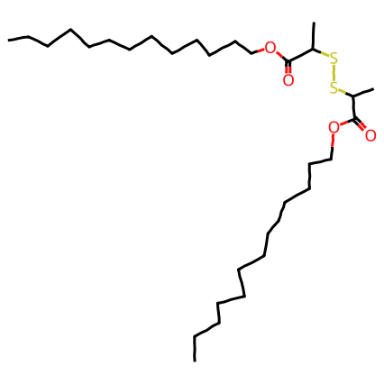 CCCCCCCCCCCCCOC(=O)C(C)SSC(C)C(=O)OCCCCCCCCCCCCC